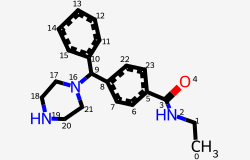 CCNC(=O)c1ccc(C(c2ccccc2)N2CCNCC2)cc1